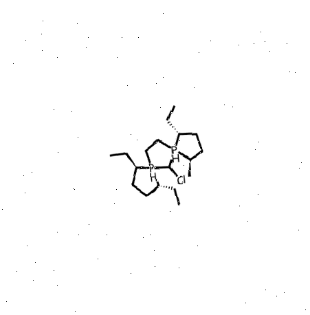 CC[C@@H]1CC[C@@H](CC)[PH]12CC[PH]1(C2Cl)[C@H](CC)CC[C@H]1C